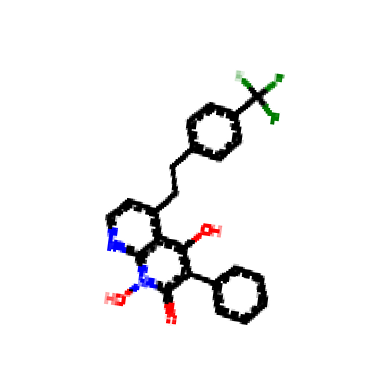 O=c1c(-c2ccccc2)c(O)c2c(CCc3ccc(C(F)(F)F)cc3)ccnc2n1O